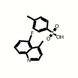 Cc1ccc(S(=O)(=O)O)cc1.Cc1ccnc2cccc(F)c12